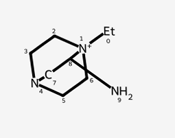 CC[N+]12CCN(CC1)CC2N